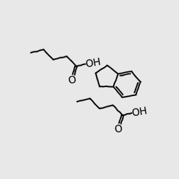 CCCCC(=O)O.CCCCC(=O)O.c1ccc2c(c1)CCC2